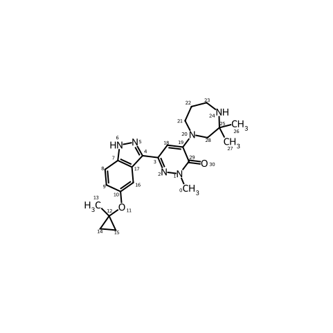 Cn1nc(-c2n[nH]c3ccc(OC4(C)CC4)cc23)cc(N2CCCNC(C)(C)C2)c1=O